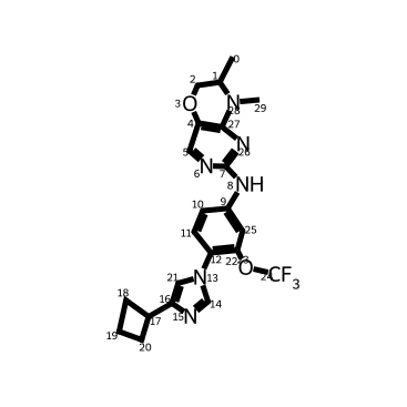 CC1COc2cnc(Nc3ccc(-n4cnc(C5CCC5)c4)c(OC(F)(F)F)c3)nc2N1C